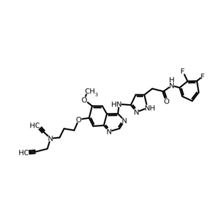 C#CCN(C#C)CCCOc1cc2ncnc(Nc3cc(CC(=O)Nc4cccc(F)c4F)[nH]n3)c2cc1OC